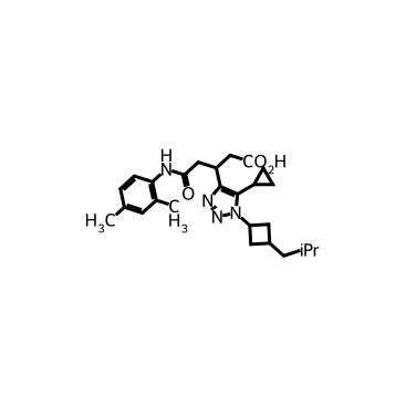 Cc1ccc(NC(=O)CC(CC(=O)O)c2nnn(C3CC(CC(C)C)C3)c2C2CC2)c(C)c1